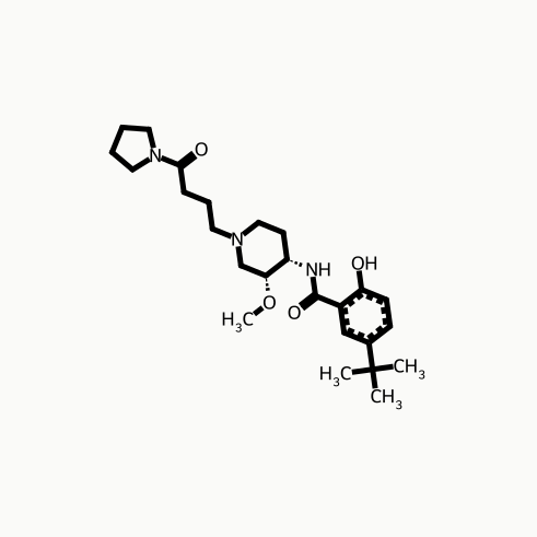 CO[C@@H]1CN(CCCC(=O)N2CCCC2)CC[C@@H]1NC(=O)c1cc(C(C)(C)C)ccc1O